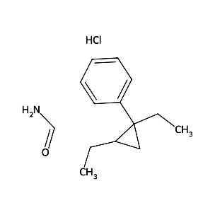 CCC1CC1(CC)c1ccccc1.Cl.NC=O